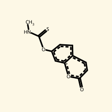 CNC(=S)Oc1ccc2ccc(=O)oc2c1